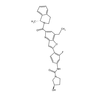 CCc1cc(C(=O)N2CCc3ccccc3[C@H]2C)nc2cc(-c3ccc(NC(=O)N4CC[C@@H](O)C4)cc3F)oc12